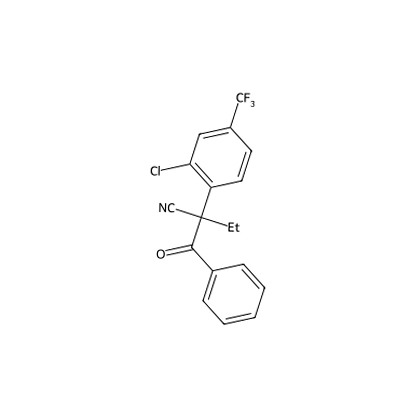 CCC(C#N)(C(=O)c1ccccc1)c1ccc(C(F)(F)F)cc1Cl